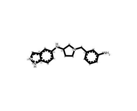 Nc1cccc(CN2CCC(Nc3ccc4[nH]ncc4c3)C2)c1